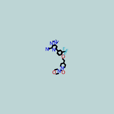 C[N+]1(C)C=Nc2c1cc(-c1ccc(OCCC3CCN(C(=O)N4CCOCC4)CC3)c(C(F)(F)F)c1)nc2C#N